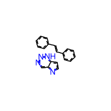 C(=Cc1ccccc1)c1ccccc1.c1cc2[nH]nncc-2n1